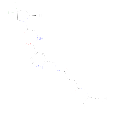 C[C@H](NC(=O)c1ccnc(CNC(=O)CCC(=O)NC(CS)C(=O)O)c1)C(=O)N1CC(F)(F)C[C@H]1C